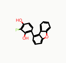 Oc1ccc(-c2cccc3oc4ccccc4c23)c(O)c1F